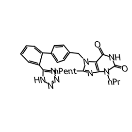 CCCCCc1nc2c(c(=O)[nH]c(=O)n2CCC)n1Cc1ccc(-c2ccccc2-c2nnn[nH]2)cc1